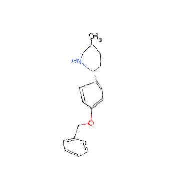 C[C@H]1CC[C@H](c2ccc(OCc3ccccc3)cc2)NC1